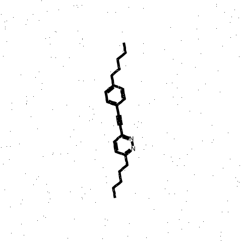 CCCCCc1ccc(C#Cc2ccc(CCCCC)nn2)cc1